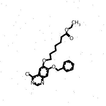 CCOC(=O)CCCCCCOc1cc2c(Cl)ncnc2cc1OCc1ccccc1